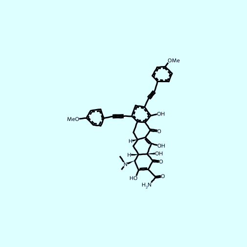 COc1ccc(C#Cc2cc(C#Cc3ccc(OC)cc3)c3c(c2O)C(=O)C2=C(O)[C@]4(O)C(=O)C(C(N)=O)=C(O)[C@@H](N(C)C)[C@@H]4C[C@@H]2C3)cc1